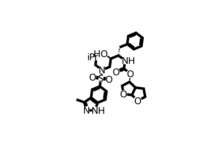 Cc1n[nH]c2ccc(S(=O)(=O)N(CC(C)C)C[C@@H](O)[C@H](Cc3ccccc3)NC(=O)O[C@H]3COC4OCCC43)cc12